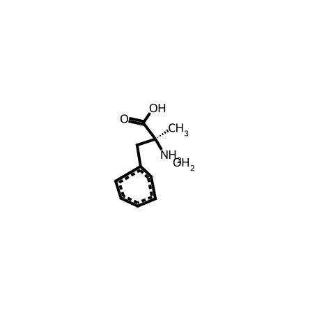 C[C@](N)(Cc1ccccc1)C(=O)O.O